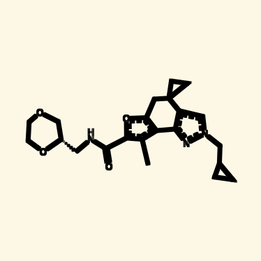 Cc1c(C(=O)NC[C@H]2COCCO2)oc2c1-c1nn(CC3CC3)cc1C1(CC1)C2